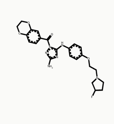 Nc1nc(Nc2ccc(OCCN3CCC(F)C3)cc2)n(C(=O)c2ccc3c(c2)OCCO3)n1